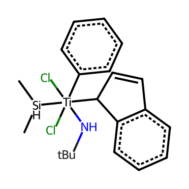 C[SiH](C)[Ti]([Cl])([Cl])([NH]C(C)(C)C)([c]1ccccc1)[CH]1C=Cc2ccccc21